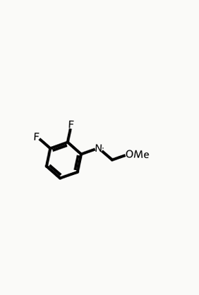 COC[N]c1cccc(F)c1F